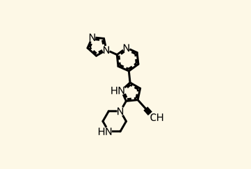 C#Cc1cc(-c2ccnc(-n3ccnc3)c2)[nH]c1N1CCNCC1